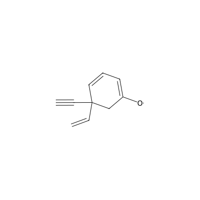 C#CC1(C=C)C=CC=C([O])C1